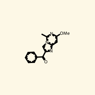 COc1cc2nc(C(=O)c3ccccc3)cn2c(C)n1